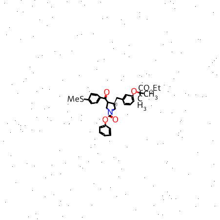 CCOC(=O)C(C)(C)Oc1cccc(C[C@H]2CN(C(=O)Oc3ccccc3)CC2C(=O)c2ccc(SC)cc2)c1